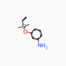 C=C[Si](C)(C)Oc1cccc(N)c1